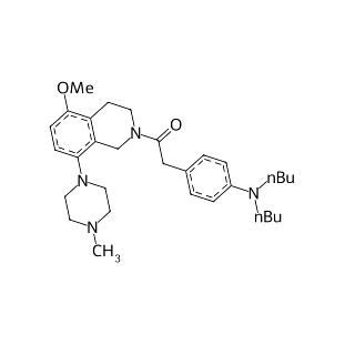 CCCCN(CCCC)c1ccc(CC(=O)N2CCc3c(OC)ccc(N4CCN(C)CC4)c3C2)cc1